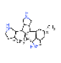 C[C@@H]1CC2CNCC2C(C2C3CNCC3C(C3CNCC[C@@H]3C)[C@@H]2C)C1